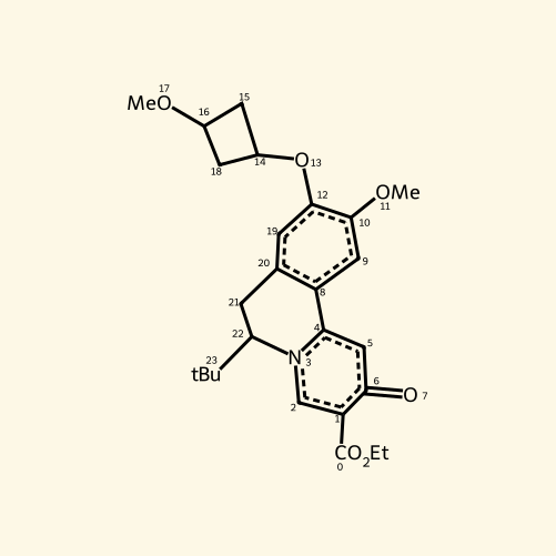 CCOC(=O)c1cn2c(cc1=O)-c1cc(OC)c(OC3CC(OC)C3)cc1CC2C(C)(C)C